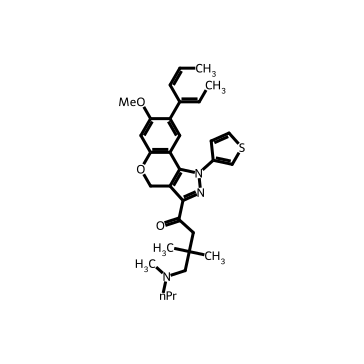 C/C=C\C(=C/C)c1cc2c(cc1OC)OCc1c(C(=O)CC(C)(C)CN(C)CCC)nn(-c3ccsc3)c1-2